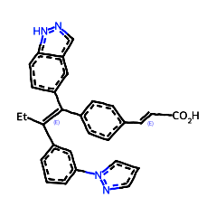 CC/C(=C(/c1ccc(/C=C/C(=O)O)cc1)c1ccc2[nH]ncc2c1)c1cccc(-n2cccn2)c1